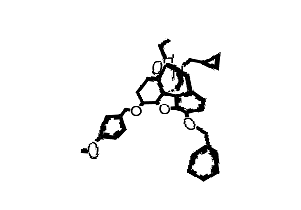 CCCO[C@@]12CCC(OCc3ccc(OC)cc3)C3Oc4c(OCc5ccccc5)ccc5c4[C@@]31CCN(CC1CC1)[C@@H]2C5